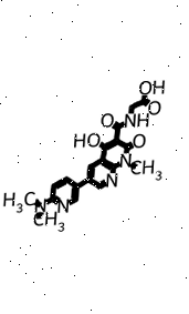 CN(C)c1ccc(-c2cnc3c(c2)c(O)c(C(=O)NCC(=O)O)c(=O)n3C)cn1